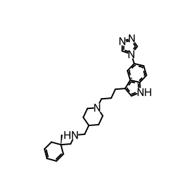 C[C@@]1(CNCC2CCN(CCCc3c[nH]c4ccc(-n5cnnc5)cc34)CC2)C=CC=CC1